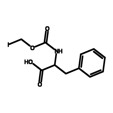 O=C(NC(Cc1ccccc1)C(=O)O)OCI